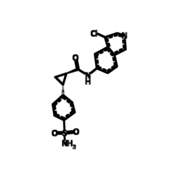 NS(=O)(=O)c1ccc([C@@H]2C[C@H]2C(=O)Nc2ccc3cncc(Cl)c3c2)cc1